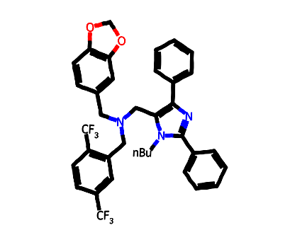 CCCCn1c(-c2ccccc2)nc(-c2ccccc2)c1CN(Cc1ccc2c(c1)OCO2)Cc1cc(C(F)(F)F)ccc1C(F)(F)F